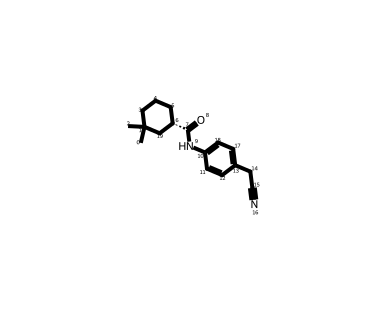 CC1(C)CCC[C@H](C(=O)Nc2ccc(CC#N)cc2)C1